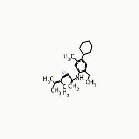 C=C(/C=C\C(C)=C(C)C)Nc1cc(C)c(C2CCCCC2)cc1CC